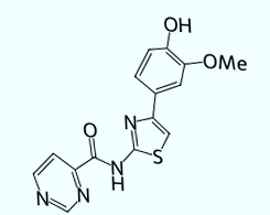 COc1cc(-c2csc(NC(=O)c3ccncn3)n2)ccc1O